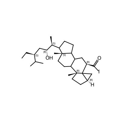 CC[C@@H](C[C@@H](O)[C@@H](C)C1CCC2C3C[C@@H](C(=O)I)C45C[C@H]4CC[C@]5(C)C3CC[C@@]21C)C(C)C